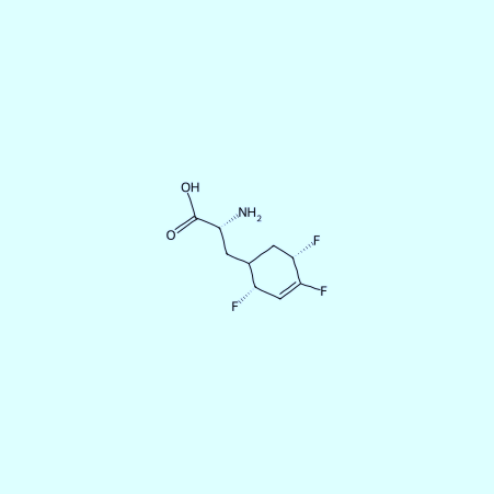 N[C@H](CC1C[C@H](F)C(F)=C[C@@H]1F)C(=O)O